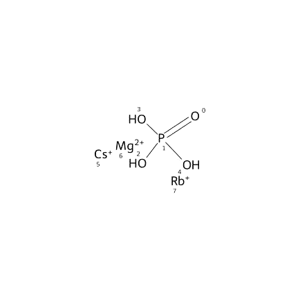 O=P(O)(O)O.[Cs+].[Mg+2].[Rb+]